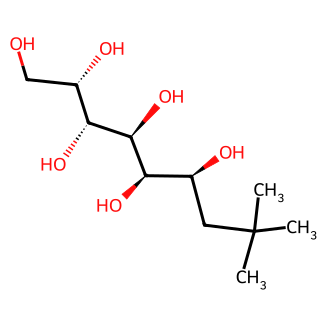 CC(C)(C)C[C@H](O)[C@@H](O)[C@H](O)[C@H](O)[C@@H](O)CO